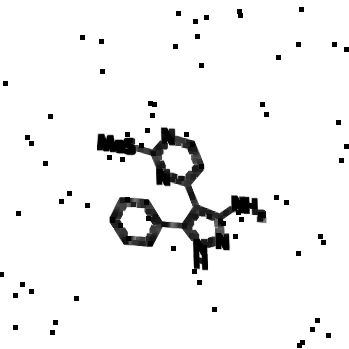 CSc1nccc(-c2c(N)n[nH]c2-c2ccccc2)n1